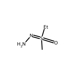 CCS(C)(=O)=NN